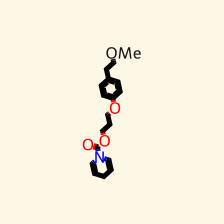 COCCc1ccc(OCCCOC(=O)N2C=CCC=C2)cc1